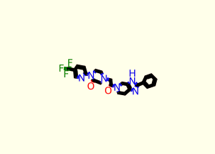 O=C(CN1CCN(c2ccc(C(F)(F)F)cn2)C(=O)C1)N1CCc2nc(-c3ccccc3)[nH]c2C1